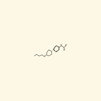 CCCCC[C@H]1CC[C@H](c2ccc(SC(F)F)cc2)CC1